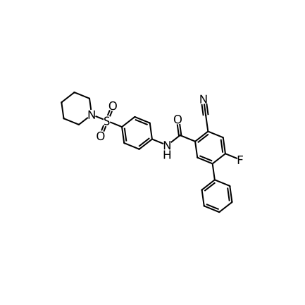 N#Cc1cc(F)c(-c2ccccc2)cc1C(=O)Nc1ccc(S(=O)(=O)N2CCCCC2)cc1